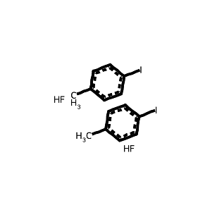 Cc1ccc(I)cc1.Cc1ccc(I)cc1.F.F